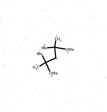 COC(C)(CC(C)(OC)C(C)(C)C)C(C)(C)C